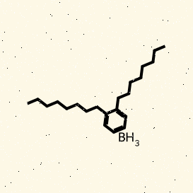 B.CCCCCCCCc1ccccc1CCCCCCCC